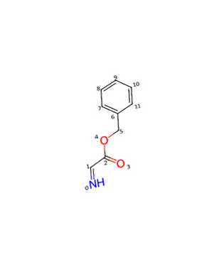 N=CC(=O)OCc1ccccc1